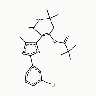 Cc1sc(-c2cccc(Cl)c2)nc1C1=C(OC(=O)C(C)(C)C)CC(C)(C)NC1=O